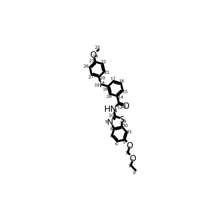 CCOCOc1ccc2nc(NC(=O)c3cccc([I+]c4ccc(OC)cc4)c3)sc2c1